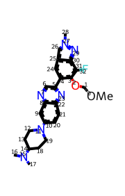 COCOc1c(-c2cnc3cc(N4CCC(N(C)C)CC4)ccc3n2)cc2cn(C)nc2c1F